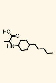 CCCCCC1CCC(NC(C)C(=O)O)CC1